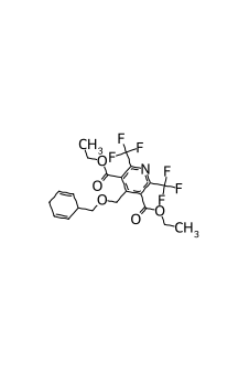 CCOC(=O)c1c(C(F)(F)F)nc(C(F)(F)F)c(C(=O)OCC)c1COCC1C=CCC=C1